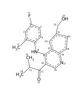 Cc1cc(F)ccc1Nc1c(C(=O)C(C)C)cnc2ccc(CO)cc12